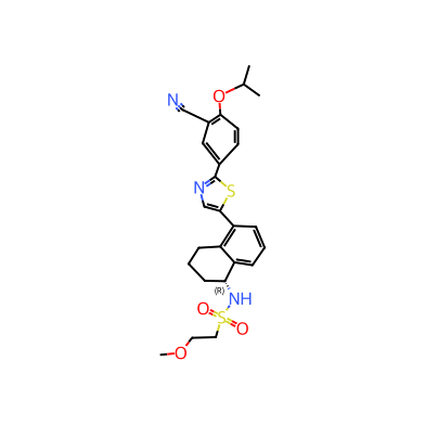 COCCS(=O)(=O)N[C@@H]1CCCc2c(-c3cnc(-c4ccc(OC(C)C)c(C#N)c4)s3)cccc21